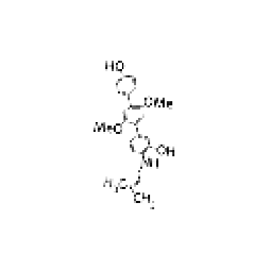 COc1cc(-c2ccc(NCC=C(C)C)c(O)c2)c(OC)cc1-c1ccc(O)cc1